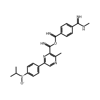 CNC(=N)c1ccc(C(=N)OC(=N)c2nc(-c3ccc([S+]([O-])C(C)C)cc3)cnc2C)cc1